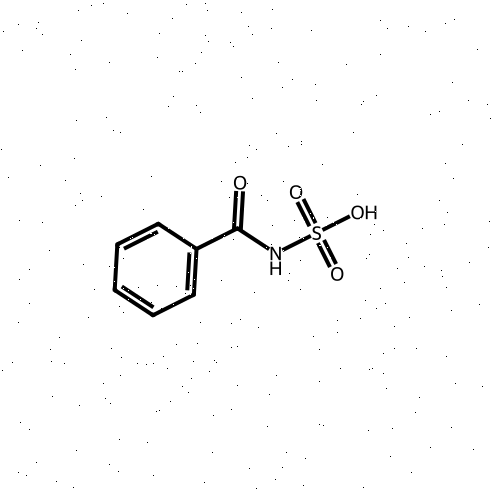 O=C(NS(=O)(=O)O)c1ccccc1